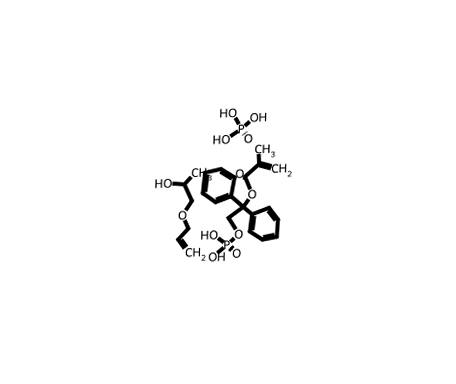 C=C(C)C(=O)OC(COP(=O)(O)O)(c1ccccc1)c1ccccc1.C=CCOCC(C)O.O=P(O)(O)O